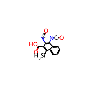 O=C=Nc1c(C(=O)O)c([SiH3])c2ccccc2c1N=C=O